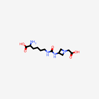 NC(CCCCNC(=O)NC1CN(CC(=O)O)C1)C(=O)O